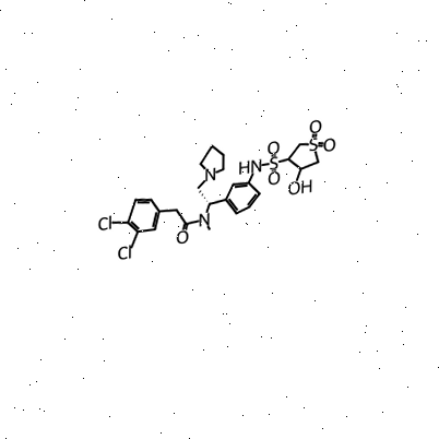 CN(C(=O)Cc1ccc(Cl)c(Cl)c1)[C@H](CN1CCCC1)c1cccc(NS(=O)(=O)C2CS(=O)(=O)CC2O)c1